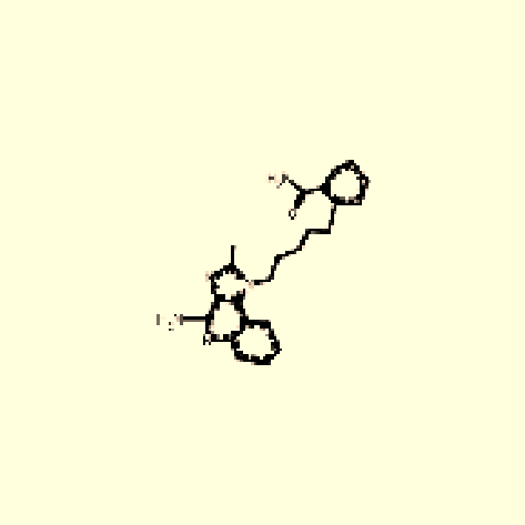 Cc1nc2c(N)nc3ccccc3c2n1CCCCCc1ccccc1C(N)=O